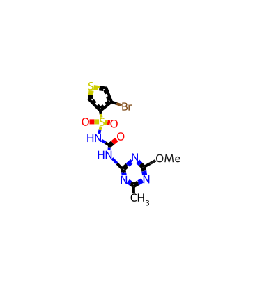 COc1nc(C)nc(NC(=O)NS(=O)(=O)c2cscc2Br)n1